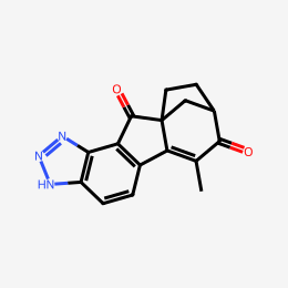 CC1=C2c3ccc4[nH]nnc4c3C(=O)C23CCC(C3)C1=O